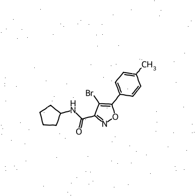 Cc1ccc(-c2onc(C(=O)NC3CCCC3)c2Br)cc1